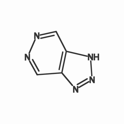 c1nncc2[nH]nnc12